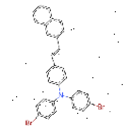 Brc1ccc(N(c2ccc(Br)cc2)c2ccc(C=Cc3ccc4ccccc4c3)cc2)cc1